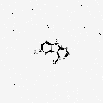 N#Cc1ccc2[nH]c3ncnc(Cl)c3c2c1